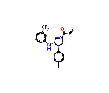 C=CC(=O)N1C[C@@H](Nc2cccc(C(F)(F)F)c2)[C@H](c2ccc(C)cc2)C1